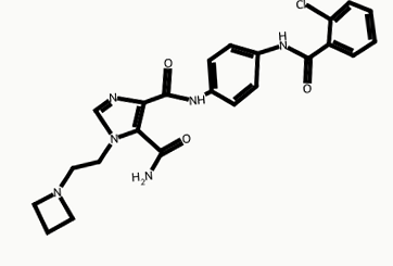 NC(=O)c1c(C(=O)Nc2ccc(NC(=O)c3ccccc3Cl)cc2)ncn1CCN1CCC1